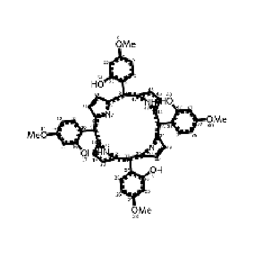 COc1ccc(-c2c3nc(c(-c4ccc(OC)cc4O)c4ccc([nH]4)c(-c4ccc(OC)cc4O)c4nc(c(-c5ccc(OC)cc5O)c5ccc2[nH]5)C=C4)C=C3)c(O)c1